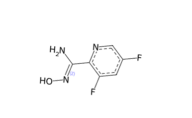 N/C(=N\O)c1ncc(F)cc1F